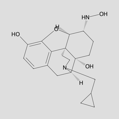 ON[C@@H]1CC[C@@]2(O)[C@H]3Cc4ccc(O)c5c4[C@@]2(CCN3CC2CC2)[C@H]1O5